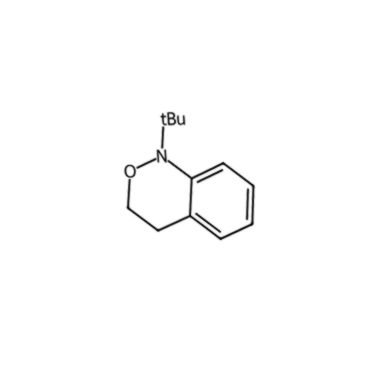 CC(C)(C)N1OCCc2ccccc21